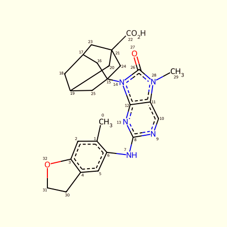 Cc1cc2c(cc1Nc1ncc3c(n1)n(C14CC5CC(CC(C(=O)O)(C5)C1)C4)c(=O)n3C)CCO2